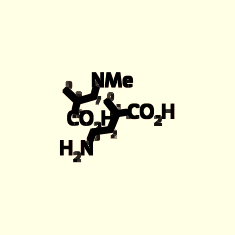 CC(CCN)C(=O)O.CNCC(C)C(=O)O